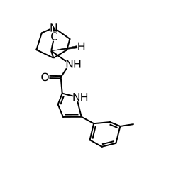 Cc1cccc(-c2ccc(C(=O)N[C@H]3CN4CCC3CC4)[nH]2)c1